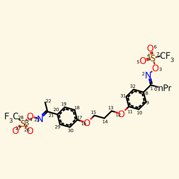 CCCC(=NOS(=O)(=O)C(F)(F)F)c1ccc(OCCCOc2ccc(C(C)=NOS(=O)(=O)C(F)(F)F)cc2)cc1